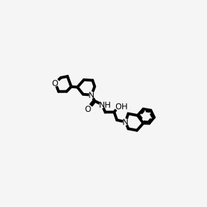 O=C(NCC(O)CN1CCc2ccccc2C1)N1CCCC(C2CCOCC2)C1